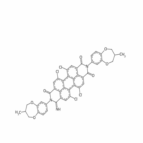 CC1COc2ccc(N3C(=N)c4cc(Cl)c5c6c(Cl)cc7c8c(cc(Cl)c(c9c(Cl)cc(c4c59)C3=O)c86)C(=O)N(c3ccc4c(c3)OCC(C)CO4)C7=O)cc2OC1